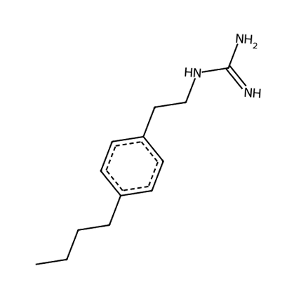 CCCCc1ccc(CCNC(=N)N)cc1